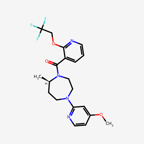 COc1ccnc(N2CC[C@@H](C)N(C(=O)c3cccnc3OCC(F)(F)F)CC2)c1